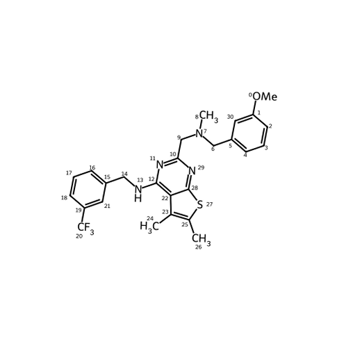 COc1cccc(CN(C)Cc2nc(NCc3cccc(C(F)(F)F)c3)c3c(C)c(C)sc3n2)c1